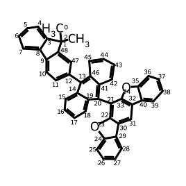 CC1(C)c2ccccc2-c2ccc(-c3c4ccccc4c(-c4c5oc6ccccc6c5cc5c4oc4ccccc45)c4ccccc34)cc21